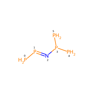 P/P=N/P(P)P